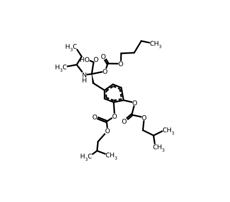 CCCCOC(=O)O[C@](Cc1ccc(OC(=O)OCC(C)C)c(OC(=O)OCC(C)C)c1)(NC(C)CC)C(=O)O